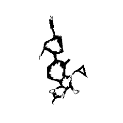 Cc1nc2c(=O)n(C3CC3)c3c(C)c(-c4ccc(C#N)cc4F)ccc3c2o1